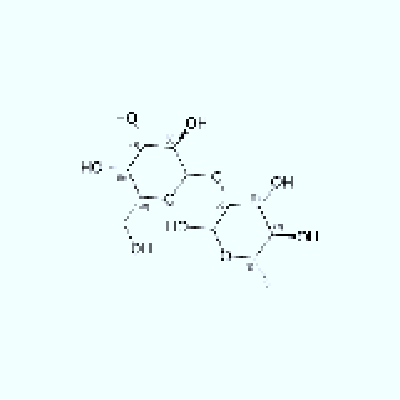 C[C@@H]1OC(O)[C@H](OC2O[C@H](CO)[C@H](O)[C@H](O)[C@H]2O)[C@H](O)[C@H]1O